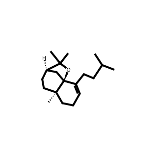 CC(C)CCC1=CCC[C@@]2(C)CC[C@@H]3C[C@]12OC3(C)C